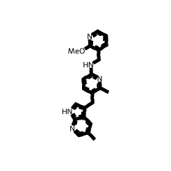 COc1ncccc1CNc1ccc(Cc2c[nH]c3ncc(C)cc23)c(C)n1